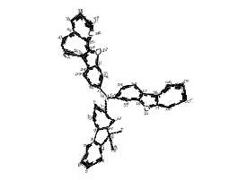 CC1(C)c2ccccc2-c2ccc(N(c3ccc4c(c3)oc3ccccc34)c3ccc4c(c3)oc3c5ccccc5ccc43)cc21